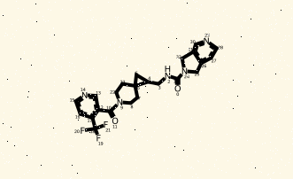 O=C(NCC1CC12CCN(C(=O)c1cnccc1C(F)(F)F)CC2)N1Cc2ccncc2C1